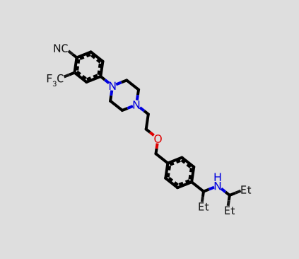 CCC(CC)NC(CC)c1ccc(COCCN2CCN(c3ccc(C#N)c(C(F)(F)F)c3)CC2)cc1